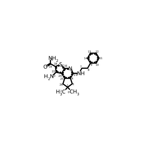 CC1(C)Cc2c(NCCc3ccccc3)nc3sc(C(N)=O)c(N)c3c2C1